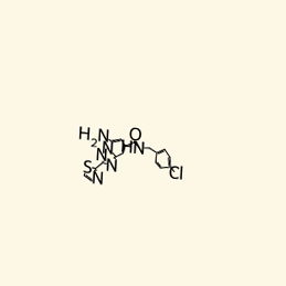 Nc1cc(C(=O)NCc2ccc(Cl)cc2)cc2nc(-c3nccs3)nn12